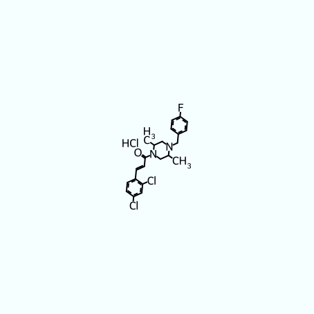 CC1CN(C(=O)/C=C/c2ccc(Cl)cc2Cl)C(C)CN1Cc1ccc(F)cc1.Cl